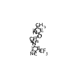 [C-]#[N+]c1ccc(N(CCOc2ccc(C)cn2)CC(F)(F)F)cc1C(F)(F)F